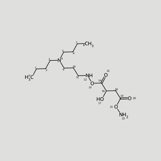 CCCCN(CCCC)CCCNOC(=O)C(O)CC(=O)ON